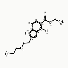 CCCOCCc1cc2c(Cl)c(C(=O)OCC)cnc2[nH]1